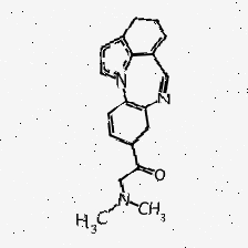 CN(C)CC(=O)C1C=CC2=C(C1)N=CC1=CCCc3ccn2c31